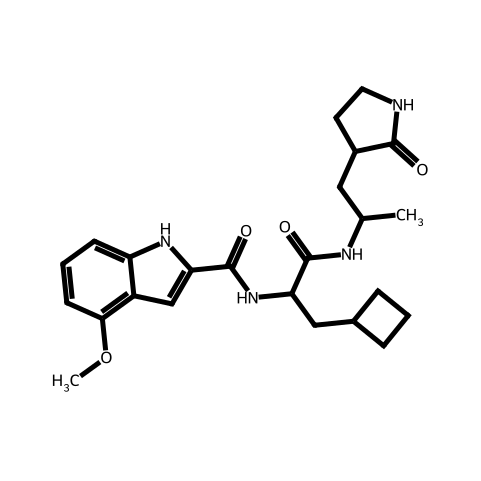 COc1cccc2[nH]c(C(=O)NC(CC3CCC3)C(=O)NC(C)CC3CCNC3=O)cc12